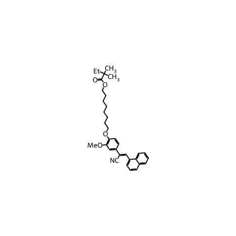 CCC(C)(C)C(=O)OCCCCCCCCOc1ccc(/C(C#N)=C/c2cccc3ccccc23)cc1OC